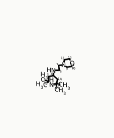 CC1(C)CC(NCCN2CCOCC2)CC(C)(C)N1